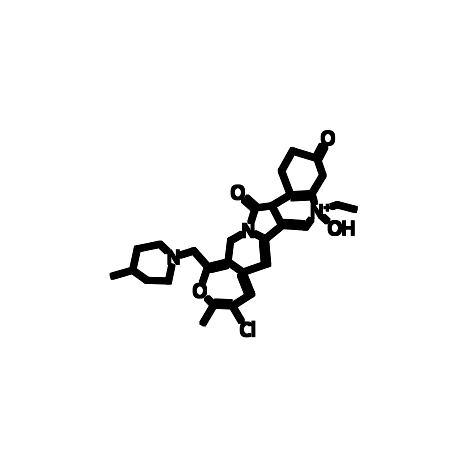 CC[N+]1(O)C=C2C3=CC4=CC(Cl)=C(C)OC(CN5CCC(C)CC5)=C4CN3C(=O)C2C2=C1CC(=O)CC2